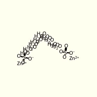 O.O.O.O.O.O.O.O.O.O.O.O.O.O.O=S(=O)([O-])[O-].O=S(=O)([O-])[O-].[Zn+2].[Zn+2]